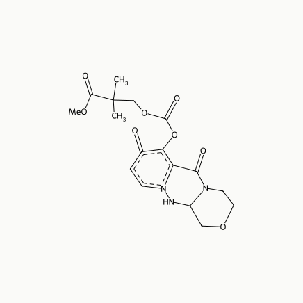 COC(=O)C(C)(C)COC(=O)Oc1c2n(ccc1=O)NC1COCCN1C2=O